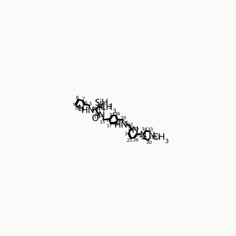 CC([SiH3])[C@H](NCc1ccccn1)C(=O)NCc1ccc(CNCc2cccc(N3CCN(C)CC3)n2)cc1